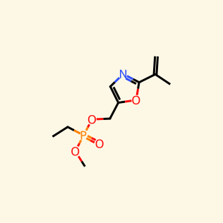 C=C(C)c1ncc(COP(=O)(CC)OC)o1